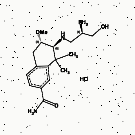 CO[C@H]1Cc2ccc(C(N)=O)cc2C(C)(C)[C@@H]1NC[C@@H](N)CO.Cl